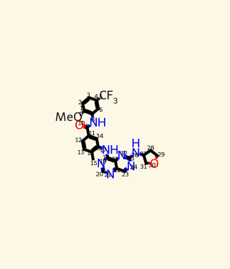 COc1ccc(C(F)(F)F)cc1NC(=O)c1ccc(C)c(Nc2ncnc3cnc(NC4CCOC4)nc23)c1